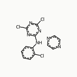 Clc1nc(Cl)nc(Nc2ccccc2Cl)n1.c1cnccn1